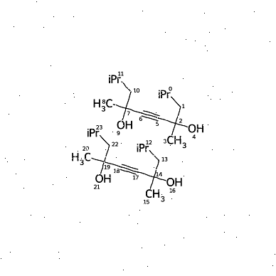 CC(C)CC(C)(O)C#CC(C)(O)CC(C)C.CC(C)CC(C)(O)C#CC(C)(O)CC(C)C